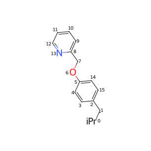 CC(C)[CH]c1ccc(OCc2ccccn2)cc1